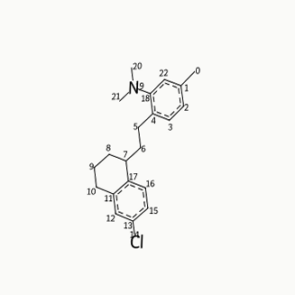 Cc1ccc(CCC2CCCc3cc(Cl)ccc32)c(N(C)C)c1